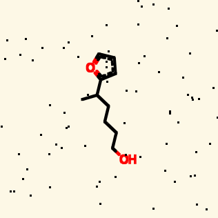 CC(CCCCO)c1ccco1